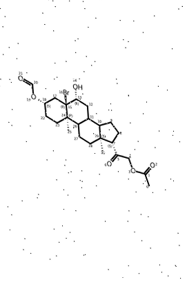 CC(=O)OCC(=O)[C@H]1CCC2C3C[C@@H](O)[C@@]4(Br)C[C@@H](OC=O)CC[C@]4(C)C3CC[C@@]21C